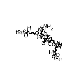 CC(C)(C)OC(=O)NCCCON=C(C(=O)NC1C(=O)N2C(C(=O)O)=C(CSc3nnnn3CCNC(=O)OC(C)(C)C)CS[C@@H]12)c1nsc(N)n1